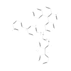 c1ccc(-c2ccc(N(c3ccc4ccc5ccc6ccccc6c5c4c3)c3cc4sc5ccccc5c4cn3)cc2)cc1